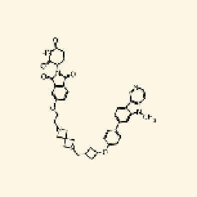 Cn1c2ccncc2c2ccc(-c3ccc(O[C@H]4C[C@H](CN5CC6(CN(CCOc7ccc8c(c7)C(=O)N(C7CCC(=O)NC7=O)C8=O)C6)C5)C4)cc3)cc21